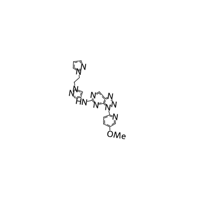 COc1ccc(-n2nnc3cnc(Nc4cnn(CCn5cccn5)c4)nc32)nc1